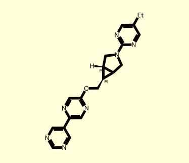 CCc1cnc(N2CC3[C@@H](COc4cnc(-c5cncnc5)cn4)[C@@H]3C2)nc1